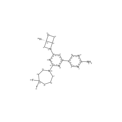 Nc1ncc(-c2cc(N3C[C@H]4OCC43)nc(N3CCCC(F)(F)CC3)n2)cn1